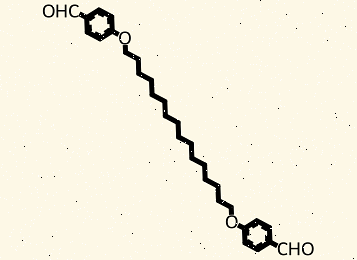 O=Cc1ccc(OCCCCCCCCCCCCCCCCOc2ccc(C=O)cc2)cc1